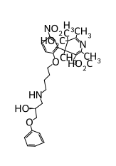 CC1=NC(C)=C(C(=O)O)C(C)(c2cc([N+](=O)[O-])ccc2OCCCCNC[C@H](O)COc2ccccc2)C1(C)C(=O)O